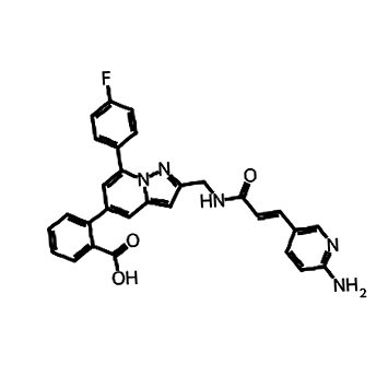 Nc1ccc(C=CC(=O)NCc2cc3cc(-c4ccccc4C(=O)O)cc(-c4ccc(F)cc4)n3n2)cn1